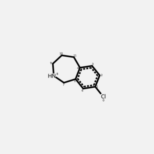 Clc1ccc2c(c1)CNCCC2